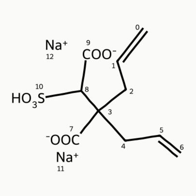 C=CCC(CC=C)(C(=O)[O-])C(C(=O)[O-])S(=O)(=O)O.[Na+].[Na+]